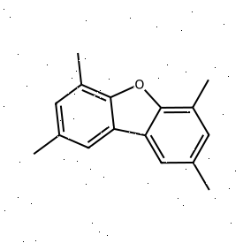 Cc1cc(C)c2oc3c(C)cc(C)cc3c2c1